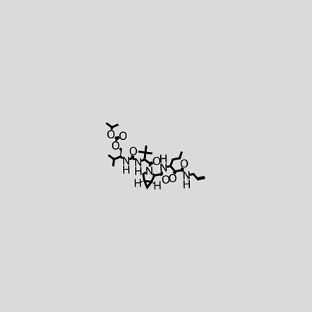 C=CCNC(=O)C(=O)C(CCC)NC(=O)C1[C@H]2C[C@H]2CN1C(=O)C(NC(=O)N[C@H](COC(=O)OC(C)C)C(C)C)C(C)(C)C